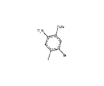 COc1cc(Br)c(I)cc1[N+](=O)[O-]